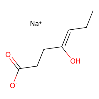 CCC=C(O)CCC(=O)[O-].[Na+]